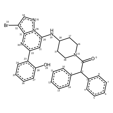 O=C(C(c1ccccc1)c1ccccc1)N1CCC(Nc2cc(-c3ccccc3O)nc3c(Br)cnn23)CC1